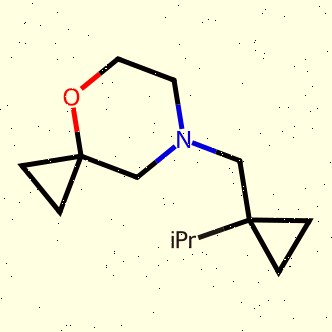 CC(C)C1(CN2CCOC3(CC3)C2)CC1